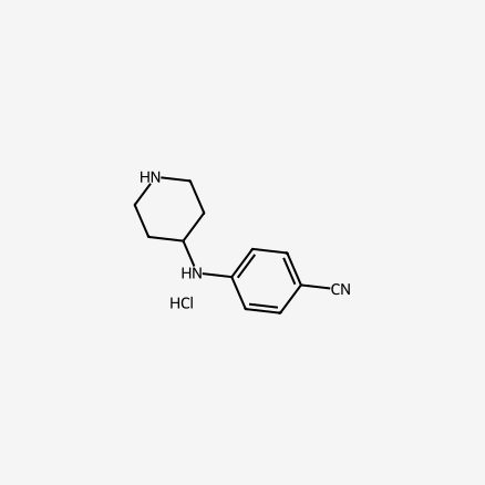 Cl.N#Cc1ccc(NC2CCNCC2)cc1